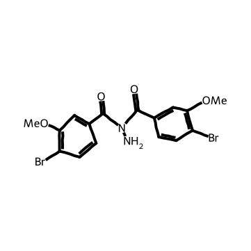 COc1cc(C(=O)N(N)C(=O)c2ccc(Br)c(OC)c2)ccc1Br